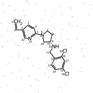 C=Cc1ccc(N2CC[C@H](NCc3ccc(Cl)cc3Cl)C2)nc1